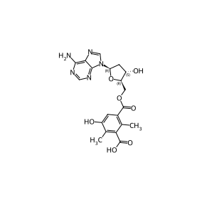 Cc1c(O)cc(C(=O)OC[C@H]2O[C@@H](n3cnc4c(N)ncnc43)C[C@@H]2O)c(C)c1C(=O)O